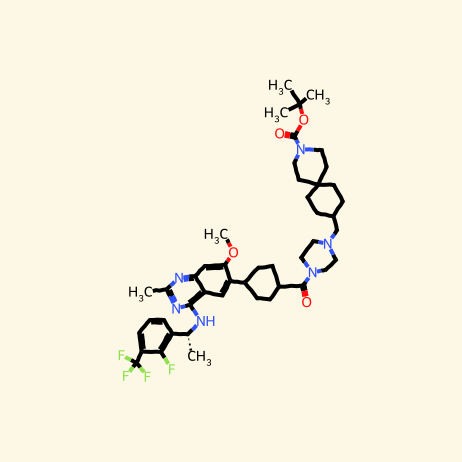 COc1cc2nc(C)nc(N[C@H](C)c3cccc(C(F)(F)F)c3F)c2cc1C1CCC(C(=O)N2CCN(CC3CCC4(CC3)CCN(C(=O)OC(C)(C)C)CC4)CC2)CC1